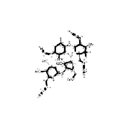 CC(=O)OC[C@H]1O[C@@H](O[C@H]2[C@H](O[C@H]3O[C@H](CN=[N+]=[N-])C(F)(F)[C@H](OC(C)=O)C3N=[N+]=[N-])[C@@H](C)CC(N=[N+]=[N-])[C@@H]2OC(C)=O)[C@H](OC(C)=O)[C@@H]1O[C@@H]1C[C@@H](OC(C)=O)[C@H](OC(C)=O)[C@H](CN=[N+]=[N-])O1